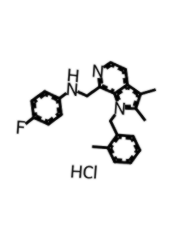 Cc1ccccc1Cn1c(C)c(C)c2ccnc(CNc3ccc(F)cc3)c21.Cl